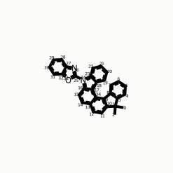 CC1(C)c2ccccc2-c2c1ccc1ccc3c(c4ccccc4n3-c3nc4ccccc4o3)c21